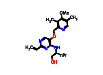 C=Cc1ncc(OCc2ncc(C)c(OC)c2C)c(N[C@H](CO)CCC)n1